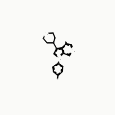 Oc1cncc2c1c(C1CCNCC1)cn2-c1ccc(Cl)cc1